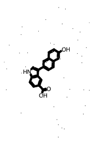 O=C(O)c1ccc2[nH]cc(-c3ccc4cc(O)ccc4c3)c2c1